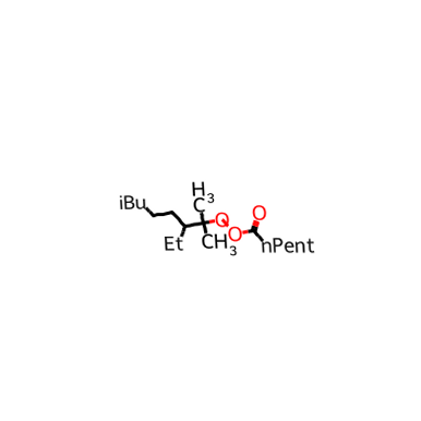 CCCCCC(=O)OOC(C)(C)C(CC)CCC(C)CC